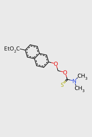 CCOC(=O)c1ccc2cc(OCOC(=S)N(C)C)ccc2c1